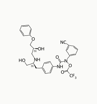 N#Cc1cccc(N(OC(=O)C(F)(F)F)C(=O)Nc2ccc(C[C@@H](CO)NC[C@H](O)COc3ccccc3)cc2)c1